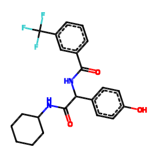 O=C(NC(C(=O)NC1CCCCC1)c1ccc(O)cc1)c1cccc(C(F)(F)F)c1